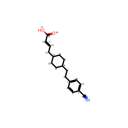 N#Cc1ccc(CCC2CCC(C/C=C/C(=O)O)CC2)cc1